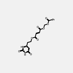 CC(C)C(=O)OCOC(=O)/C=C/C(=O)OCCc1cc(=O)[nH]c(=O)[nH]1